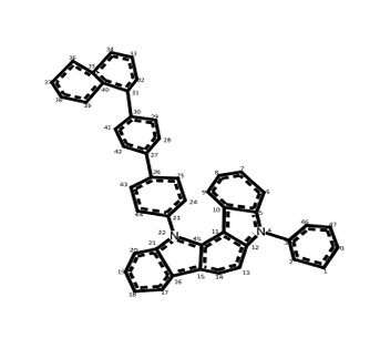 c1ccc(-n2c3ccccc3c3c2ccc2c4ccccc4n(-c4ccc(-c5ccc(-c6cccc7ccccc67)cc5)cc4)c23)cc1